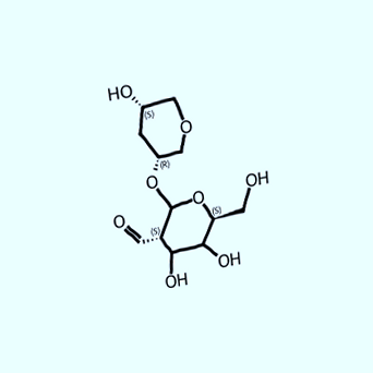 O=C[C@@H]1C(O[C@H]2COC[C@@H](O)C2)O[C@@H](CO)C(O)C1O